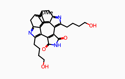 COC1=CCC2=NC(CCCCO)=C(C3=C(C4=C(CCCCO)N=C5CC=CC=C54)C(=O)NC3=O)C2=C1